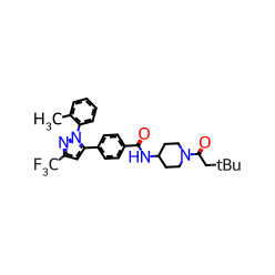 Cc1ccccc1-n1nc(C(F)(F)F)cc1-c1ccc(C(=O)NC2CCN(C(=O)CC(C)(C)C)CC2)cc1